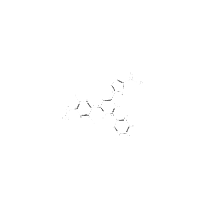 CCCNc1ncc(-c2cc(-c3cc(C)c(OC(C)C)cc3C)nc(-c3cnccn3)n2)s1